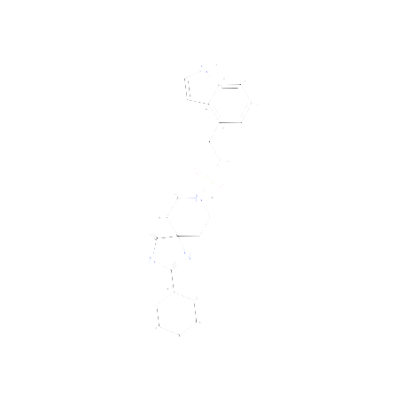 O=C1NC(C2CCCCC2)=NC12CCN(S(=O)(=O)CCc1cccc3[nH]ccc13)CC2